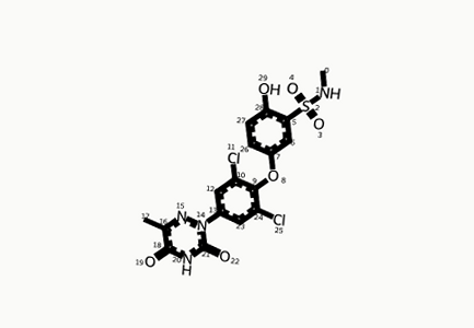 CNS(=O)(=O)c1cc(Oc2c(Cl)cc(-n3nc(C)c(=O)[nH]c3=O)cc2Cl)ccc1O